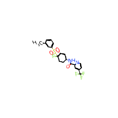 Cc1cccc(S(=O)(=O)[C@]2(F)CC[C@@H](NC(=O)c3cc(C(F)(F)F)ccn3)CC2)c1